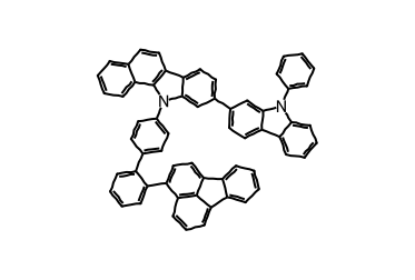 c1ccc(-n2c3ccccc3c3ccc(-c4ccc5c6ccc7ccccc7c6n(-c6ccc(-c7ccccc7-c7ccc8c9c(cccc79)-c7ccccc7-8)cc6)c5c4)cc32)cc1